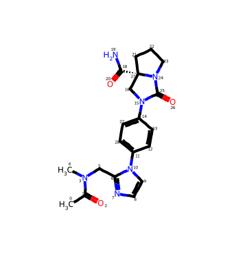 CC(=O)N(C)Cc1nccn1-c1ccc(N2C[C@@]3(C(N)=O)[CH]CCN3C2=O)cc1